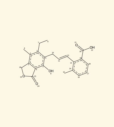 CCc1c(C)c2c(c(O)c1CC=Cc1c(C)cccc1C(=O)O)C(=O)OC2